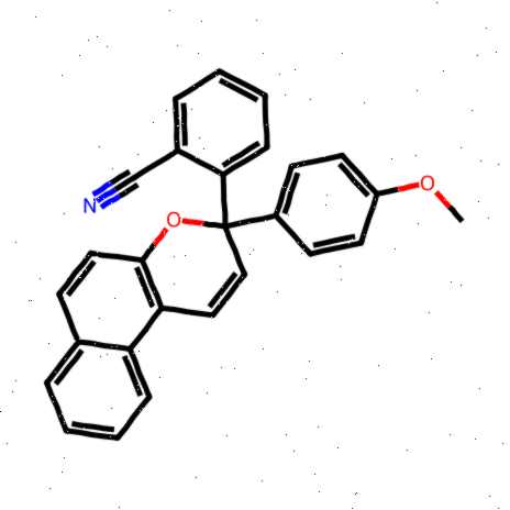 COc1ccc(C2(c3ccccc3C#N)C=Cc3c(ccc4ccccc34)O2)cc1